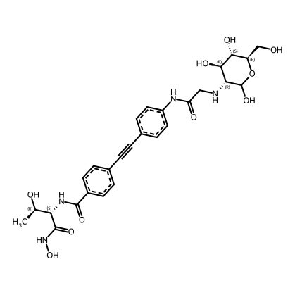 C[C@@H](O)[C@H](NC(=O)c1ccc(C#Cc2ccc(NC(=O)CN[C@H]3C(O)O[C@H](CO)[C@@H](O)[C@@H]3O)cc2)cc1)C(=O)NO